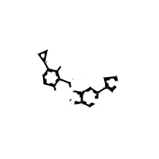 C[C@H](c1c(Cl)ccc(C2CC2)c1Cl)n1nnc2cnc(-c3ccsc3)cc21